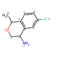 CC1OCC(N)c2cc(F)ccc21